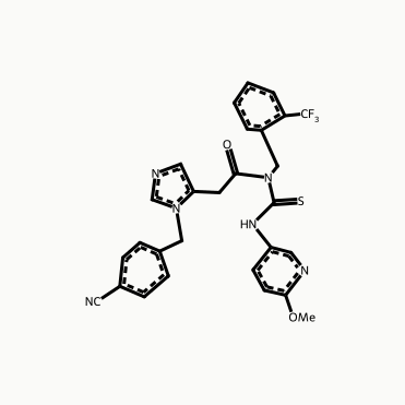 COc1ccc(NC(=S)N(Cc2ccccc2C(F)(F)F)C(=O)Cc2cncn2Cc2ccc(C#N)cc2)cn1